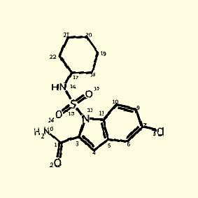 NC(=O)c1cc2cc(Cl)ccc2n1S(=O)(=O)NC1CCCCC1